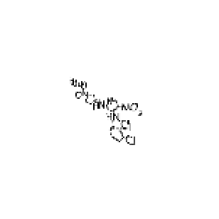 CC(C)(C)OC(=O)N1CC[C@@H](CNc2cc(NCc3cccc(Cl)c3Cl)c([N+](=O)[O-])cn2)C1